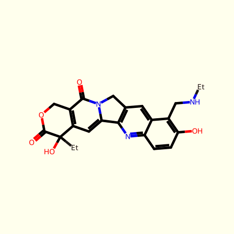 CCNCc1c(O)ccc2nc3c(cc12)Cn1c-3cc2c(c1=O)COC(=O)C2(O)CC